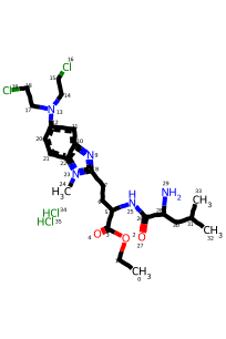 CCOC(=O)C(CCc1nc2cc(N(CCCl)CCCl)ccc2n1C)NC(=O)C(N)CC(C)C.Cl.Cl